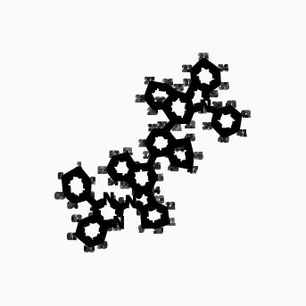 c1ccc(-c2nc(-n3c4ccccc4c4cc(-c5ccc(-c6cc7c(c8ccccc68)c6ccccc6n7-c6ccccc6)c6ccccc56)c5ccccc5c43)nc3ccccc23)cc1